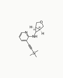 C[Si](C)(C)C#Cc1cccnc1NC1[C@H]2COC[C@@H]12